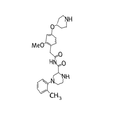 COc1cc(OC2CCNCC2)ccc1CC(=O)NC(=O)C1CN(c2ccccc2C)CCN1